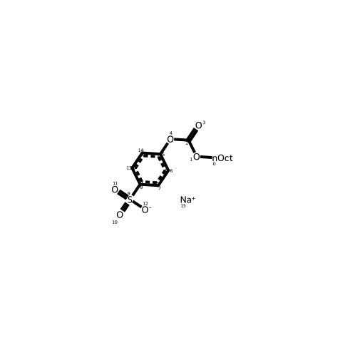 CCCCCCCCOC(=O)Oc1ccc(S(=O)(=O)[O-])cc1.[Na+]